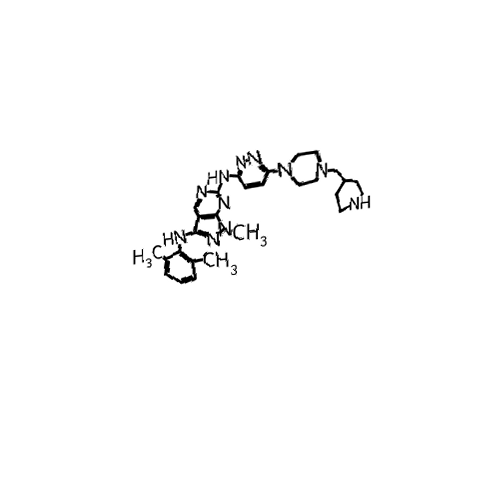 Cc1cccc(C)c1Nc1nn(C)c2nc(Nc3ccc(N4CCN(CC5CCNCC5)CC4)nn3)ncc12